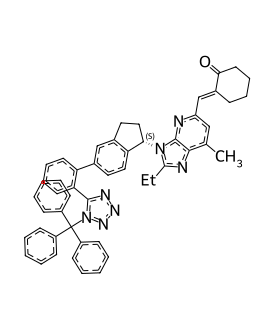 CCc1nc2c(C)cc(C=C3CCCCC3=O)nc2n1[C@H]1CCc2cc(-c3ccccc3-c3nnnn3C(c3ccccc3)(c3ccccc3)c3ccccc3)ccc21